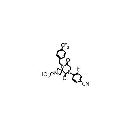 N#Cc1ccc(N2CC(=O)N(Cc3ccc(C(F)(F)F)cc3)C3(CN(C(=O)O)C3)C2=O)c(F)c1